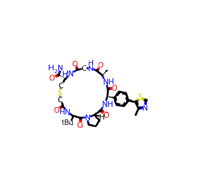 Cc1ncsc1-c1ccc([C@H]2NC(=O)[C@@H]3CCCN3C(=O)C(C(C)(C)C)NC(=O)CSC[C@H](C(N)=O)NC(=O)CNC(=O)[C@@H](C)NC2=O)cc1